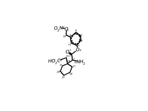 NC(C(=O)Oc1cccc(CO[N+](=O)[O-])c1)C1(CC(=O)O)CCCCC1